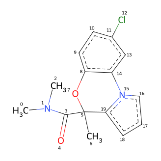 CN(C)C(=O)C1(C)Oc2ccc(Cl)cc2-n2cccc21